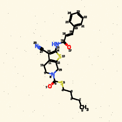 CCCCCSC(=O)N1CCc2c(sc(NC(=O)C=Cc3ccccc3)c2C#N)C1